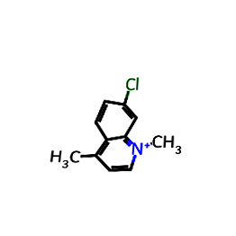 Cc1cc[n+](C)c2cc(Cl)ccc12